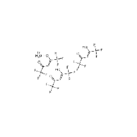 O.O=C(C=C(O)C(F)(F)F)C(F)(F)F.O=C(C=C(O)C(F)(F)F)C(F)(F)F.O=C(C=C(O)C(F)(F)F)C(F)(F)F.[Er]